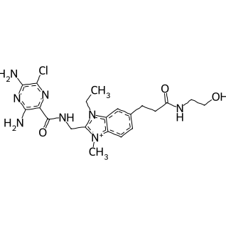 CCn1c(CNC(=O)c2nc(Cl)c(N)nc2N)[n+](C)c2ccc(CCC(=O)NCCO)cc21